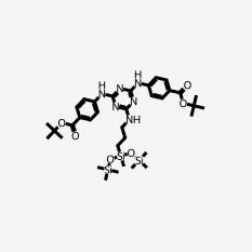 CC(C)(C)OC(=O)c1ccc(Nc2nc(NCCC[Si](C)(O[Si](C)(C)C)O[Si](C)(C)C)nc(Nc3ccc(C(=O)OC(C)(C)C)cc3)n2)cc1